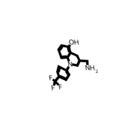 NCC1Cc2c(O)cccc2N(c2ccc(C(F)(F)F)cc2)C1